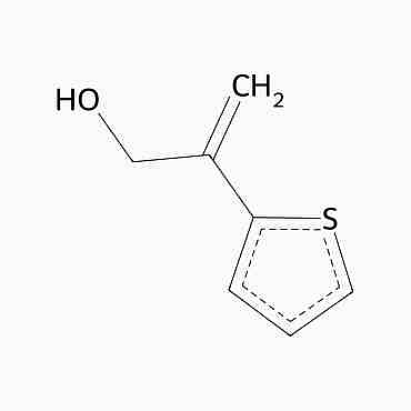 C=C(CO)c1cccs1